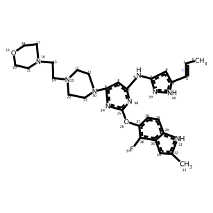 C/C=C/c1cc(Nc2cc(N3CCN(CCN4CCOCC4)CC3)nc(Oc3ccc4[nH]c(C)cc4c3F)n2)n[nH]1